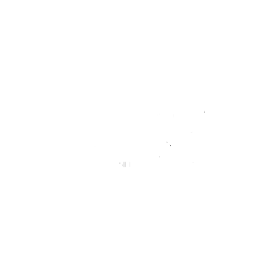 C=CC(=O)NCC(=O)NC1C2CC3C(=O)OC1C3C2